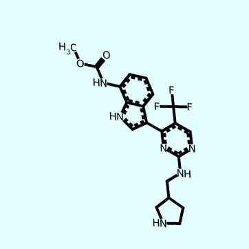 COC(=O)Nc1cccc2c(-c3nc(NCC4CCNC4)ncc3C(F)(F)F)c[nH]c12